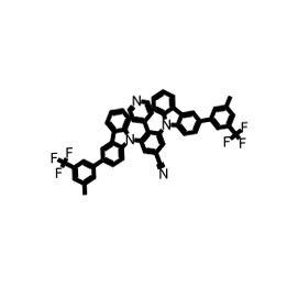 Cc1cc(-c2ccc3c(c2)c2ccccc2n3-c2cc(C#N)cc(-n3c4ccccc4c4cc(-c5cc(C)cc(C(F)(F)F)c5)ccc43)c2-c2ccncc2)cc(C(F)(F)F)c1